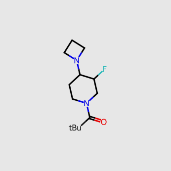 CC(C)(C)C(=O)N1CCC(N2CCC2)C(F)C1